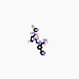 NC(=O)c1nn(CC(=O)N2C[C@H](F)CC2C(=O)Nc2cncc(Br)c2)c2ccc(-c3ccnnc3)cc12